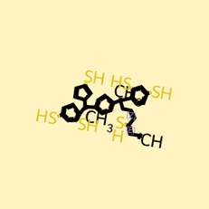 C#C/C=C(S)\C=C/CC(C)(c1ccc(C(C)(c2ccc(S)cc2S)C2C=CC(S)=C2)cc1)c1ccc(S)cc1S